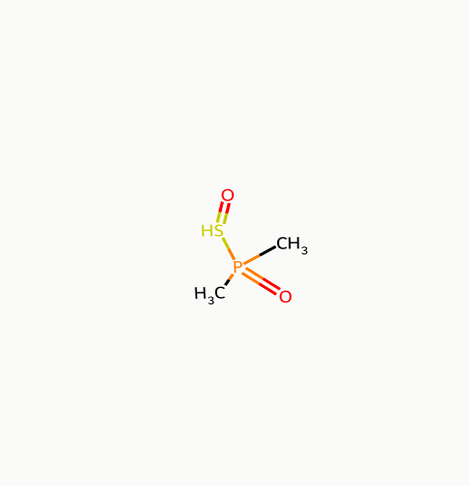 CP(C)(=O)[SH]=O